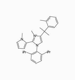 Cc1ccccc1C(C)(C)c1cn(-c2c(C(C)C)cccc2C(C)C)c(-c2cccn2C)[n+]1C